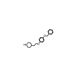 c1ccc(COc2ccc(OCCC3CCNCC3)cc2)cc1